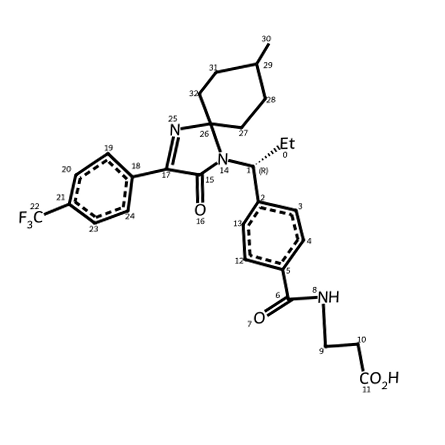 CC[C@H](c1ccc(C(=O)NCCC(=O)O)cc1)N1C(=O)C(c2ccc(C(F)(F)F)cc2)=NC12CCC(C)CC2